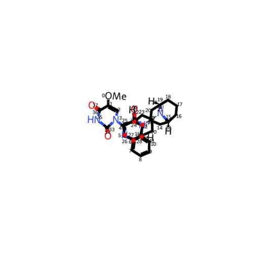 COc1cn(-c2nc3ccccc3n([C@H]3C[C@H]4CCC[C@@H](C3)N4[C@H]3C[C@@H]4CCC[C@@H](C4)C3)c2=O)c(=O)[nH]c1=O